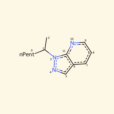 CCCCCC(C)n1ncc2cccnc21